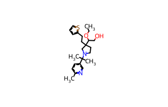 CCOC(CO)C1(CCc2cccs2)CCN(C(C)(C)c2ccc(C)nc2)C1